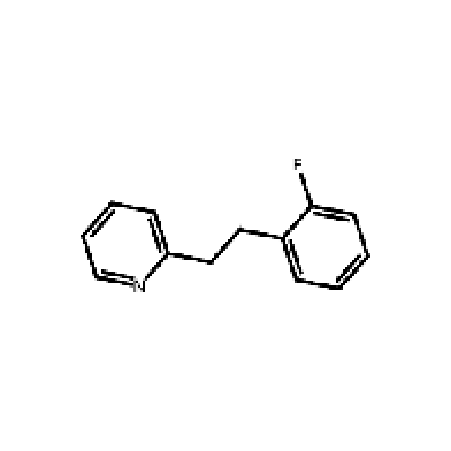 Fc1ccccc1[CH]Cc1ccccn1